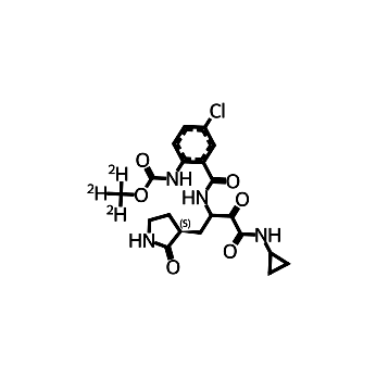 [2H]C([2H])([2H])OC(=O)Nc1ccc(Cl)cc1C(=O)NC(C[C@@H]1CCNC1=O)C(=O)C(=O)NC1CC1